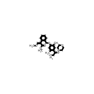 CCC(=NN1CCOCC1)c1cc(C)c(OCc2ccccc2C(=COC)C(=O)OC)cc1C